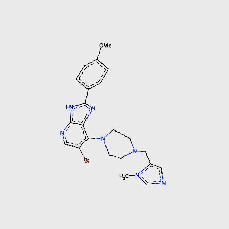 COc1ccc(-c2nc3c(N4CCN(Cc5cncn5C)CC4)c(Br)cnc3[nH]2)cc1